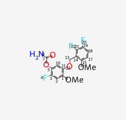 COc1cc(F)c(OC(N)=O)cc1OCc1c(OC)ccc(F)c1F